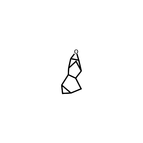 C1C2CC3C4CC(C5OC45)C3C12